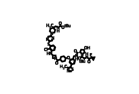 Cc1ncsc1-c1ccc(CNC(=O)[C@@H]2C[C@@H](O)CN2C(=O)[C@@H](NC(=O)C2(F)CC2)C(C)(C)C)c(OC2CCC(C(=O)N3CC(Nc4cccc(Sc5cnc(N6CCC(C)(CNC(=O)OC(C)(C)C)CC6)cn5)c4Cl)C3)CC2)c1